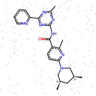 Cc1nc(NC(=O)c2ccc(N3C[C@H](C)C[C@H](C)C3)nc2C)nc(-c2ccccn2)n1